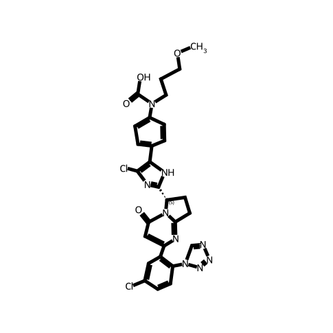 COCCCN(C(=O)O)c1ccc(-c2[nH]c([C@@H]3CCc4nc(-c5cc(Cl)ccc5-n5cnnn5)cc(=O)n43)nc2Cl)cc1